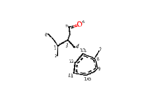 CC(C)C(C)C=O.Cc1ccccc1